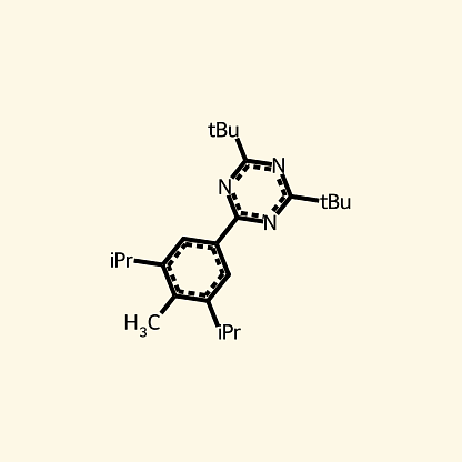 Cc1c(C(C)C)cc(-c2nc(C(C)(C)C)nc(C(C)(C)C)n2)cc1C(C)C